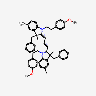 Cc1ccc2c(c1)C(C)(Cc1ccccc1)C(/C=C/C=C1/N(CCc3ccc(OC(C)C)cc3)c3ccc(C(F)(F)F)cc3C1(C)Cc1ccccc1)=[N+]2CCc1ccc(OC(C)C)cc1